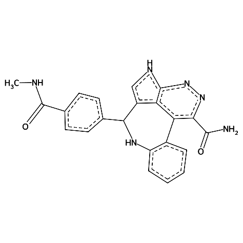 CNC(=O)c1ccc(C2Nc3ccccc3-c3c(C(N)=O)nnc4[nH]cc2c34)cc1